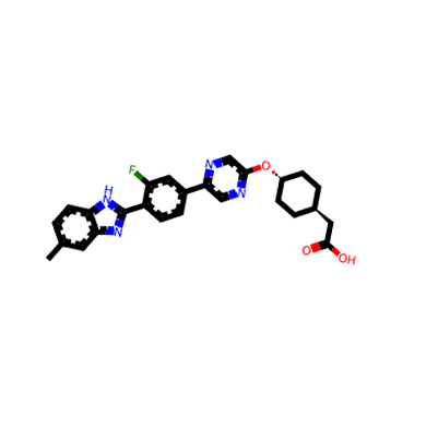 Cc1ccc2[nH]c(-c3ccc(-c4cnc(O[C@H]5CC[C@H](CC(=O)O)CC5)cn4)cc3F)nc2c1